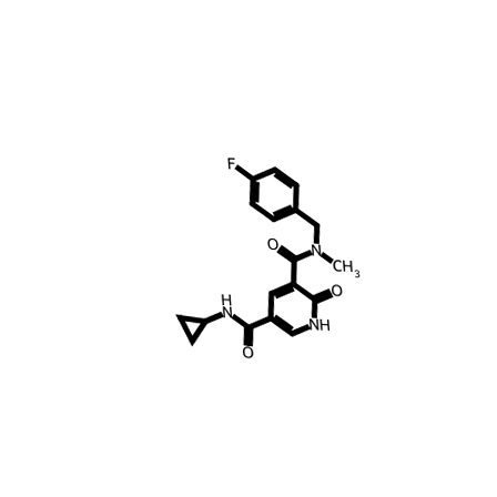 CN(Cc1ccc(F)cc1)C(=O)c1cc(C(=O)NC2CC2)c[nH]c1=O